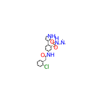 CN(C)CNS(=O)(=O)c1cc(NC(=O)Cc2ccccc2Cl)ccc1-c1cc[nH]c1